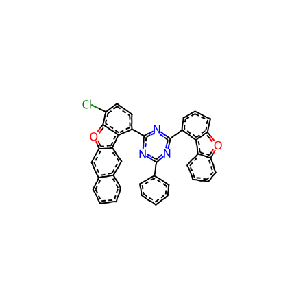 Clc1ccc(-c2nc(-c3ccccc3)nc(-c3cccc4oc5ccccc5c34)n2)c2c1oc1cc3ccccc3cc12